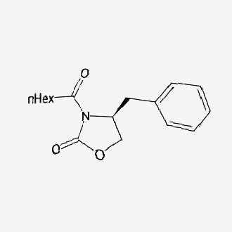 CCCCCCC(=O)N1C(=O)OC[C@@H]1Cc1ccccc1